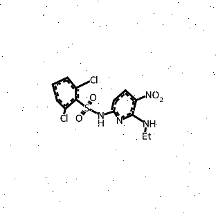 CCNc1nc(NS(=O)(=O)c2c(Cl)cccc2Cl)ccc1[N+](=O)[O-]